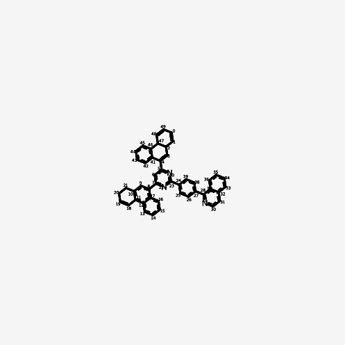 C1=CC2C=C(c3cc(-c4cc5c(c6ccccc46)C=CCC5)nc(-c4ccc(-c5nccc6ccccc56)cc4)n3)c3ccccc3C2C=C1